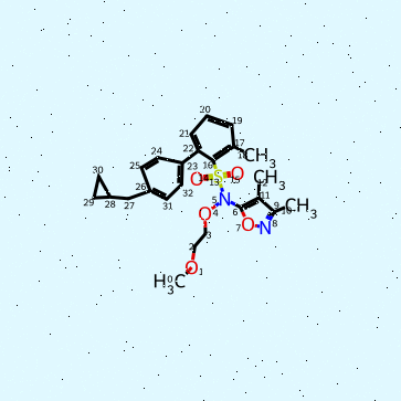 COCCON(c1onc(C)c1C)S(=O)(=O)c1c(C)cccc1-c1ccc(CC2CC2)cc1